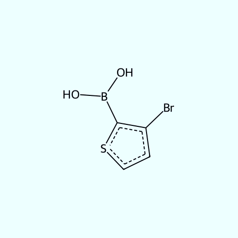 OB(O)c1sccc1Br